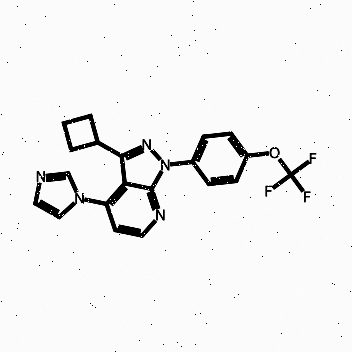 FC(F)(F)Oc1ccc(-n2nc(C3CCC3)c3c(-n4ccnc4)ccnc32)cc1